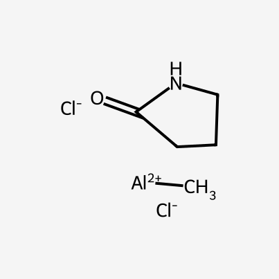 O=C1CCCN1.[CH3][Al+2].[Cl-].[Cl-]